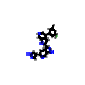 Cc1cc(F)cc(-c2cncc3[nH]c(-c4n[nH]c5cnc(-c6cn[nH]c6)cc45)cc23)c1